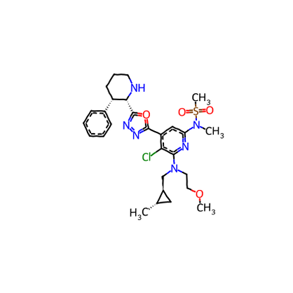 COCCN(C[C@H]1C[C@@H]1C)c1nc(N(C)S(C)(=O)=O)cc(-c2nnc([C@H]3NCCC[C@H]3c3ccccc3)o2)c1Cl